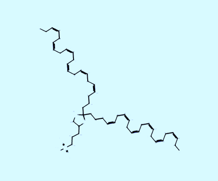 CC/C=C\C/C=C\C/C=C\C/C=C\C/C=C\C/C=C\CCCC1(CCC/C=C\C/C=C\C/C=C\C/C=C\C/C=C\C/C=C\CC)OCC(CCCS(=O)(=O)O)O1